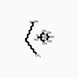 CCCCCCCC/C=C\CCCCCCCC(=O)O.O=C(O)CC(O)(CC(=O)O)C(=O)O.OCC(O)CO